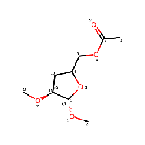 CO[C@H]1OC(COC(C)=O)C[C@@H]1OC